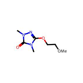 COCCOc1nn(C)c(=O)n1C